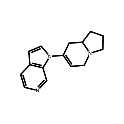 C1=C(n2ccc3ccncc32)CC2CCCN2C1